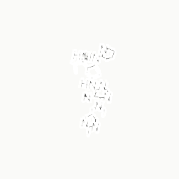 C=Nc1c(NC2CCC(Nc3ccccn3)=C(C(=N)C(C)C)C2)ncnc1N(CC)Cc1cnc(C)nc1